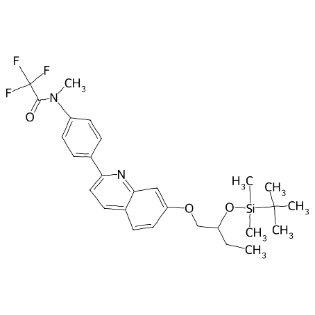 CCC(COc1ccc2ccc(-c3ccc(N(C)C(=O)C(F)(F)F)cc3)nc2c1)O[Si](C)(C)C(C)(C)C